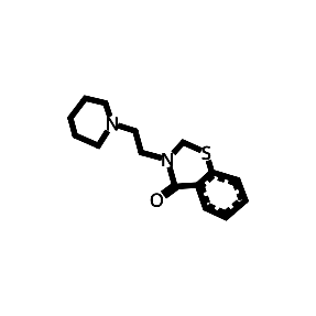 O=C1c2ccccc2SCN1CCN1CCCCC1